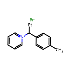 CCC(c1ccc(C)cc1)[n+]1ccccc1.[Br-]